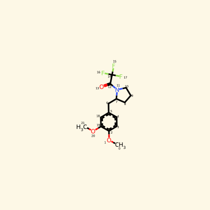 COc1ccc(CC2CCCN2C(=O)C(F)(F)F)cc1OC